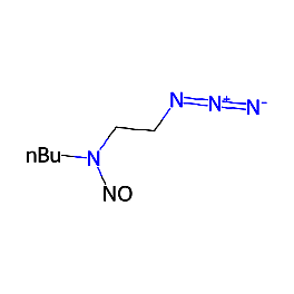 CCCCN(CCN=[N+]=[N-])N=O